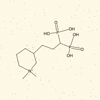 C[N+]1(C)CCCC(CCC(P(=O)(O)O)P(=O)(O)O)C1